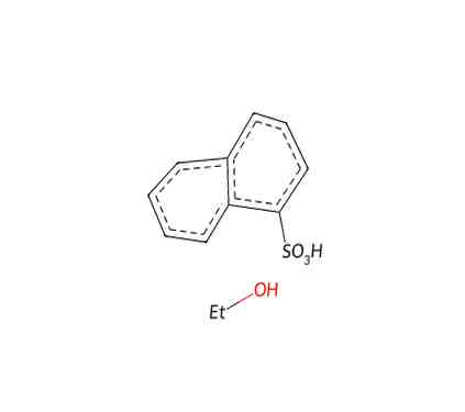 CCO.O=S(=O)(O)c1cccc2ccccc12